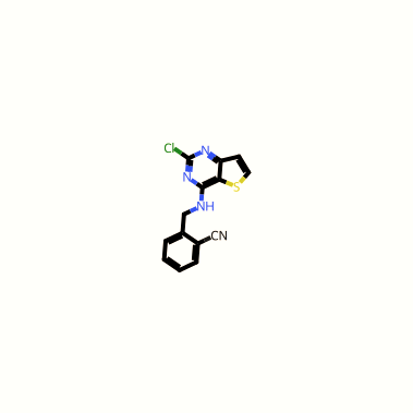 N#Cc1ccccc1CNc1nc(Cl)nc2ccsc12